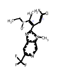 CC[S+]([O-])/C(C)=C(/C=C(\N)Cl)c1nc2cc(C(F)(F)F)ncc2n1C